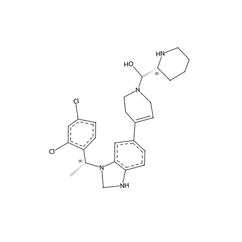 C[C@H](c1ccc(Cl)cc1Cl)N1CNc2ccc(C3=CCN(C(O)[C@H]4CCCCN4)CC3)cc21